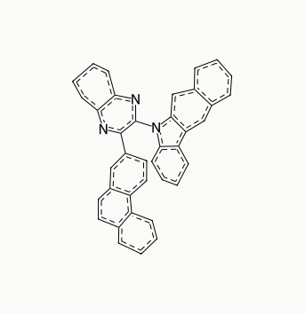 c1ccc2cc3c(cc2c1)c1ccccc1n3-c1nc2ccccc2nc1-c1ccc2c(ccc3ccccc32)c1